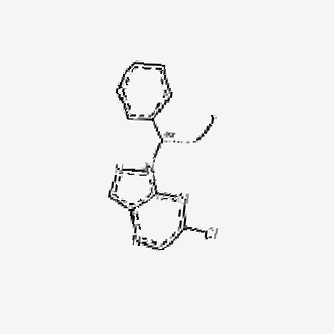 FC[C@@H](c1ccccc1)n1ncc2ncc(Cl)nc21